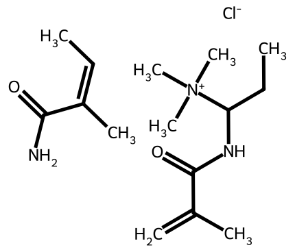 C=C(C)C(=O)NC(CC)[N+](C)(C)C.CC=C(C)C(N)=O.[Cl-]